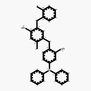 CCCc1cc(N(c2ccccc2)c2ccccc2)ccc1Cc1cc(Cc2ccccc2C)c(CCC)cc1C